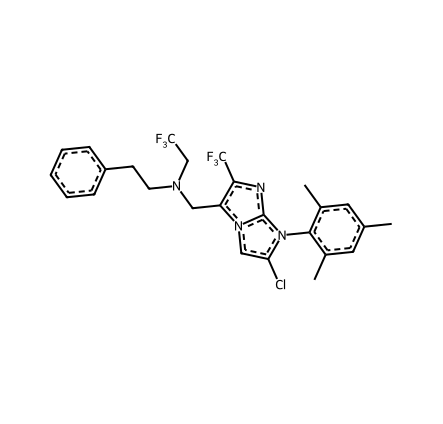 Cc1cc(C)c(-n2c(Cl)cn3c(CN(CCc4ccccc4)CC(F)(F)F)c(C(F)(F)F)nc23)c(C)c1